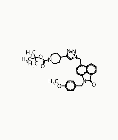 COc1ccc(CN2C(=O)c3cccc4c(Cn5cc(C6CCN(C(=O)OC(C)(C)C)CC6)nn5)ccc2c34)cc1